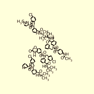 CC(=O)Nc1ccc(S(=O)(=O)N(Cc2ccccc2)c2ccc(F)c(C(=O)NC(C)C)c2)cc1.CC(C)NC(=O)c1cccc(N(Cc2ccc(Cl)cc2)S(=O)(=O)c2ccc3c(c2)NC(=O)CO3)c1.CC(C)NC(=O)c1cccc(N(Cc2ccc(Cl)cc2)S(=O)(=O)c2cccnc2)c1.CC(C)NC(=O)c1cccc(N(Cc2ccc(Cl)cc2)S(=O)(=O)c2ccn(C)n2)c1